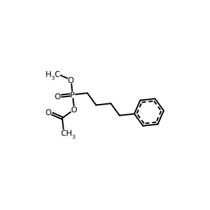 COP(=O)(CCCCc1ccccc1)OC(C)=O